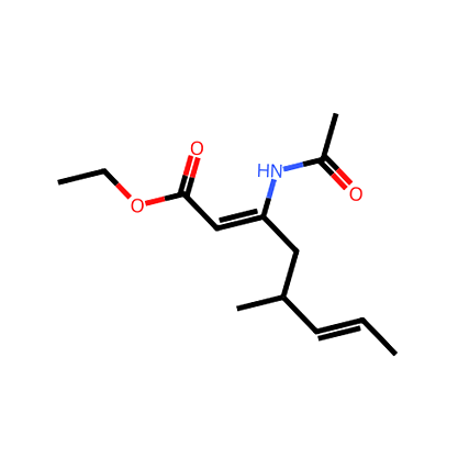 C/C=C/C(C)C/C(=C/C(=O)OCC)NC(C)=O